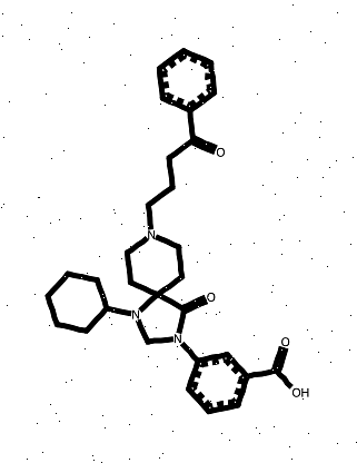 O=C(O)c1cccc(N2CN(C3CCCCC3)C3(CCN(CCCC(=O)c4ccccc4)CC3)C2=O)c1